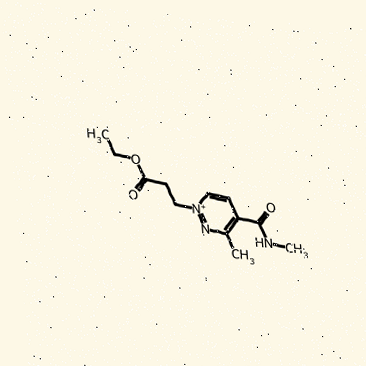 CCOC(=O)CC[n+]1ccc(C(=O)NC)c(C)n1